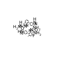 Cc1cc(F)c2c(N)c(C(N)=O)nnc2c1-c1ccc2[nH]ncc2c1.NNC(=O)c1cc2cccc(-c3ccc4cn[nH]c4c3)c2nn1